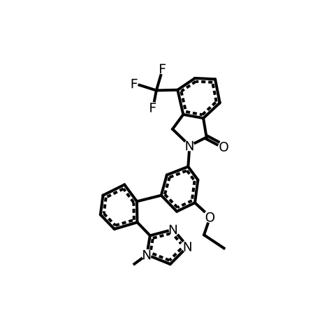 CCOc1cc(-c2ccccc2-c2nncn2C)cc(N2Cc3c(cccc3C(F)(F)F)C2=O)c1